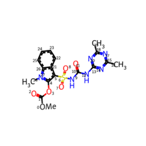 COC(=O)Oc1c(S(=O)(=O)NC(=O)Nc2nc(C)nc(C)n2)c2ccccc2n1C